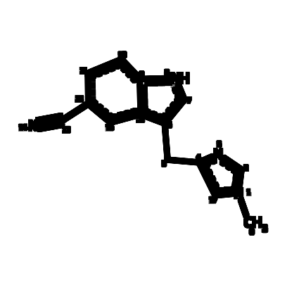 Cn1cnc(Cc2c[nH]c3ccc(C#N)cc23)c1